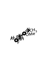 COc1cc(-c2nc(Nc3cc(C(C)=O)ccc3F)n(C)n2)ccc1-n1cnc(C)c1